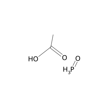 CC(=O)O.O=[PH3]